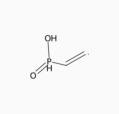 [CH]=C[PH](=O)O